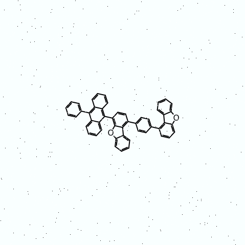 c1ccc(-c2c3ccccc3c(-c3ccc(-c4ccc(-c5cccc6oc7ccccc7c56)cc4)c4c3oc3ccccc34)c3ccccc23)cc1